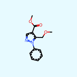 COCc1c(C(=O)OC)cnn1-c1ccccc1